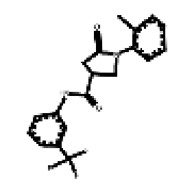 Cc1ccccc1N1CC(C(=O)Nc2cccc(C(F)(F)F)c2)CC1=O